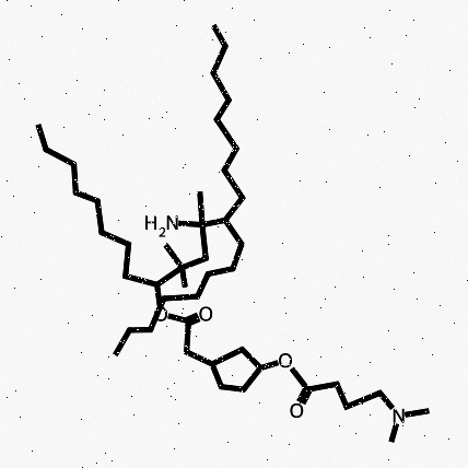 CCCCCCCCC(OC(=O)CC1CCC(OC(=O)CCCN(C)C)C1)C(C)(C)CC(C)(N)C(CCCCCCCC)CCCCCCCC